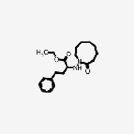 CCOC(=O)C(CCc1ccccc1)NN1CCCCCCCC1=O